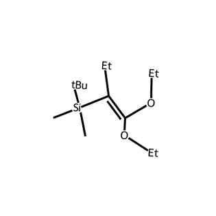 CCOC(OCC)=C(CC)[Si](C)(C)C(C)(C)C